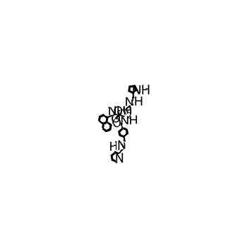 NCc1cccc2ccccc12.O=C(N[C@@H](CCCNCc1ccc[nH]1)C(=O)O)c1ccc(CNCc2ccccn2)cc1